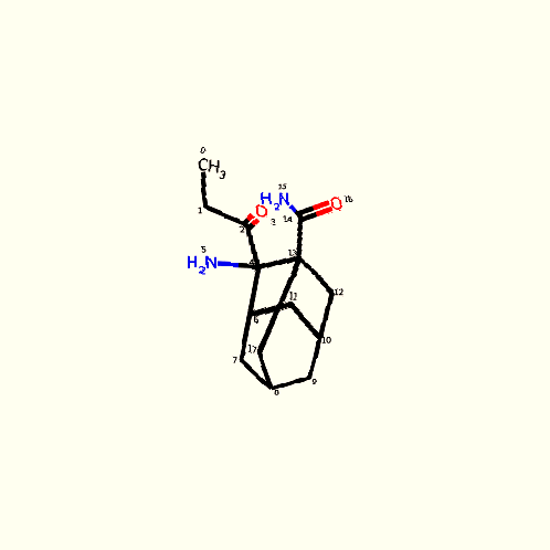 CCC(=O)C1(N)C2CC3CC(C2)CC1(C(N)=O)C3